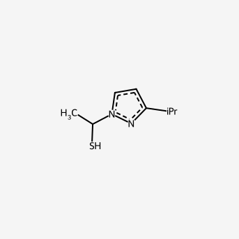 CC(C)c1ccn(C(C)S)n1